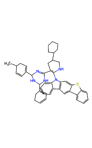 CC1C=CC(C2N=C(C3=C(n4c5ccccc5c5cc6c(cc54)sc4ccccc46)NCC(C4CCCCC4)C3)NC(C3=CC=CCC3)N2)=CC1